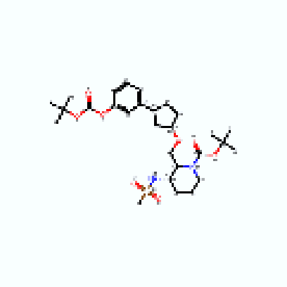 CC(C)(C)OC(=O)Oc1cccc(C2CC[C@@H](OCC3[C@@H](NS(C)(=O)=O)CCCN3C(=O)OC(C)(C)C)C2)c1